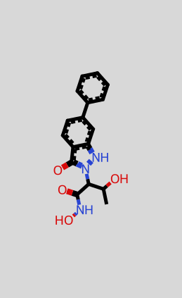 CC(O)C(C(=O)NO)n1[nH]c2cc(-c3ccccc3)ccc2c1=O